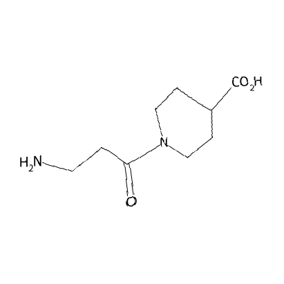 NCCC(=O)N1CCC(C(=O)O)CC1